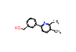 Cc1ccc(-c2cccc(CO)c2)nc1C